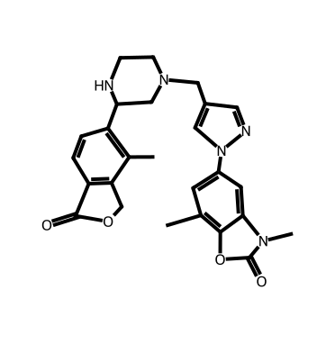 Cc1c(C2CN(Cc3cnn(-c4cc(C)c5oc(=O)n(C)c5c4)c3)CCN2)ccc2c1COC2=O